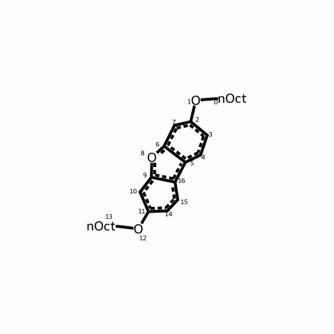 CCCCCCCCOc1ccc2c(c1)oc1cc(OCCCCCCCC)ccc12